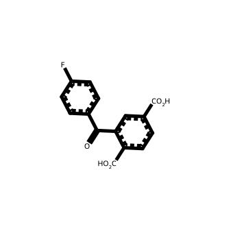 O=C(O)c1ccc(C(=O)O)c(C(=O)c2ccc(F)cc2)c1